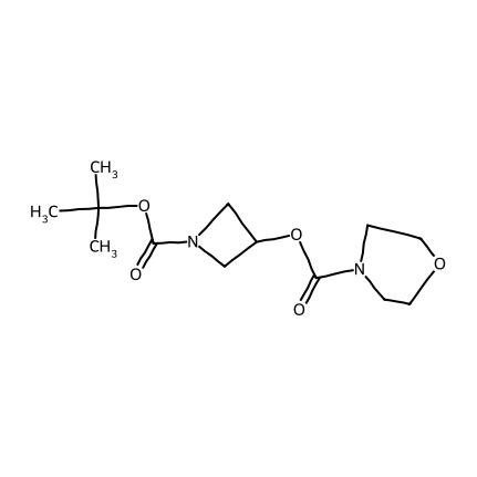 CC(C)(C)OC(=O)N1CC(OC(=O)N2CCOCC2)C1